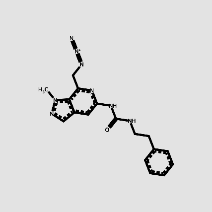 Cn1ncc2cc(NC(=O)NCCc3ccccc3)nc(CN=[N+]=[N-])c21